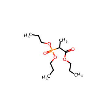 CCCOC(=O)C(C)P(=O)(OCCC)OCCC